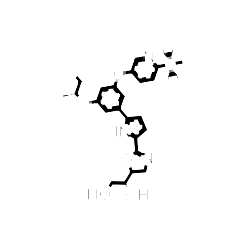 C[C@@H](CF)Oc1cc(Oc2ccc(S(C)(=O)=O)nc2)cc(-c2ccc(C3=NCC([C@@H](O)CO)O3)[nH]2)c1